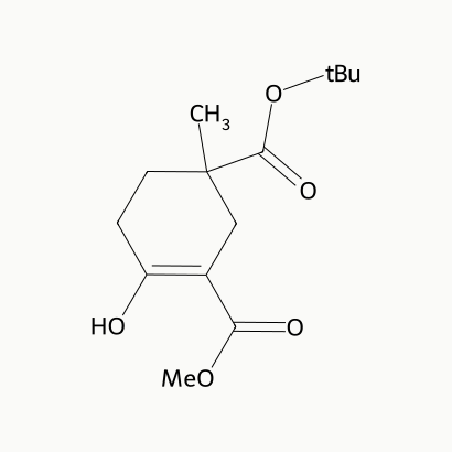 COC(=O)C1=C(O)CCC(C)(C(=O)OC(C)(C)C)C1